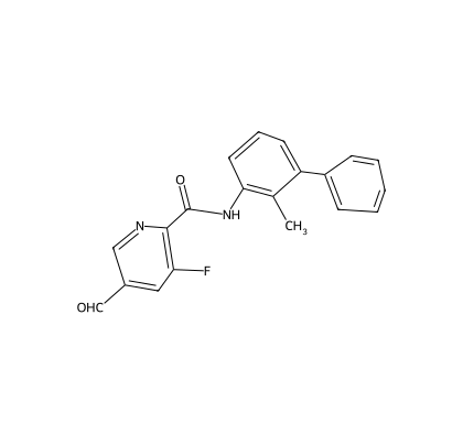 Cc1c(NC(=O)c2ncc(C=O)cc2F)cccc1-c1ccccc1